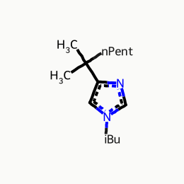 CCCCCC(C)(C)c1cn(C(C)CC)cn1